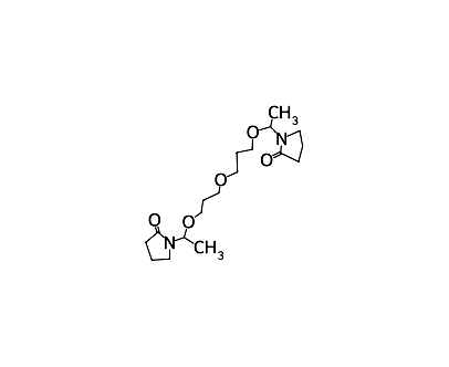 CC(OCCCOCCCOC(C)N1CCCC1=O)N1CCCC1=O